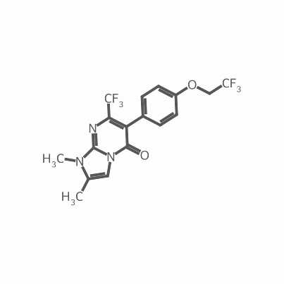 Cc1cn2c(=O)c(-c3ccc(OCC(F)(F)F)cc3)c(C(F)(F)F)nc2n1C